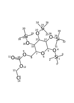 C[Si](C)(C)OC1OC(COC(=O)OCCl)C(O[Si](C)(C)C)C(O[Si](C)(C)C)C1O[Si](C)(C)C